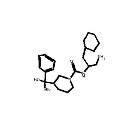 CCCCC(O)(c1ccccc1)C1CCCN(C(=O)NC(CN)CC2CCCCC2)C1